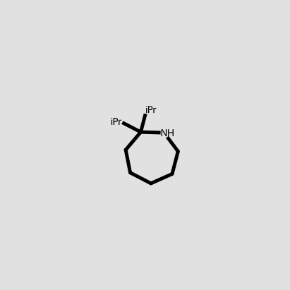 CC(C)C1(C(C)C)CCCCCN1